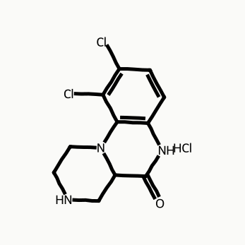 Cl.O=C1Nc2ccc(Cl)c(Cl)c2N2CCNCC12